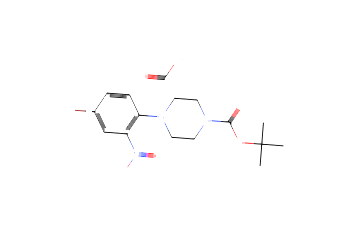 CC(C)(C)OC(=O)N1CCN(c2ccc(Br)cc2[N+](=O)[O-])[C@H](C(=O)O)C1